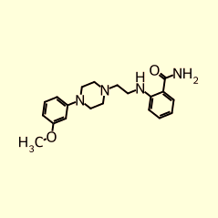 COc1cccc(N2CCN(CCNc3ccccc3C(N)=O)CC2)c1